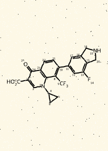 O=C(O)c1cn(C2CC2)c2c(C(F)(F)F)c(-c3cc(F)c4c(c3)CNC4)ccc2c1=O